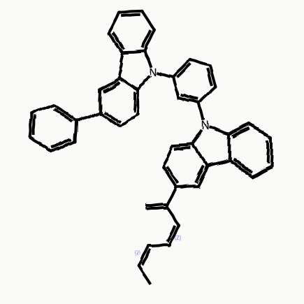 C=C(/C=C\C=C/C)c1ccc2c(c1)c1ccccc1n2-c1cccc(-n2c3ccccc3c3cc(-c4ccccc4)ccc32)c1